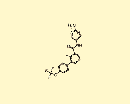 Cc1c(C(=O)Nc2cnc(N)nc2)cccc1-c1ccc(OC(F)(F)F)cc1